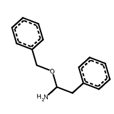 NC(Cc1ccccc1)OCc1ccccc1